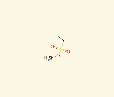 CCS(=O)(=O)O[SiH3]